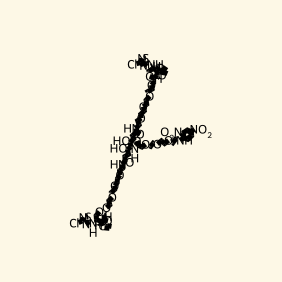 CC1(C)O[C@@H]2[C@H](O1)[C@H](Nc1nc(Cl)ns1)CO[C@@H]2COCCOCCOCCOCCNC(=O)CCC(O)C(NC(=O)COCCOCCOCCNc1ccc([N+](=O)[O-])cc1[N+](=O)[O-])C(O)CCC(=O)NCCOCCOCCOCCOC[C@H]1OC[C@@H](Nc2nc(Cl)ns2)[C@H]2OC(C)(C)O[C@H]21